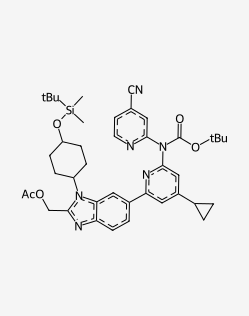 CC(=O)OCc1nc2ccc(-c3cc(C4CC4)cc(N(C(=O)OC(C)(C)C)c4cc(C#N)ccn4)n3)cc2n1C1CCC(O[Si](C)(C)C(C)(C)C)CC1